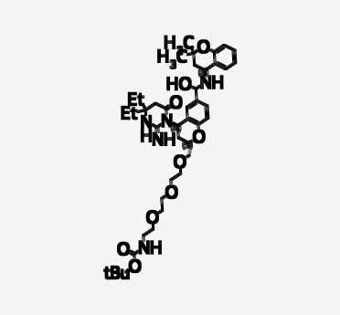 CCC1(CC)CC(=O)N([C@@H]2C[C@@H](COCCOCCOCCNC(=O)OC(C)(C)C)Oc3ccc(C(O)N[C@H]4CC(C)(C)Oc5ccccc54)cc32)C(=N)N1